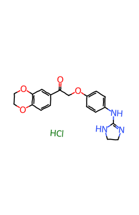 Cl.O=C(COc1ccc(NC2=NCCN2)cc1)c1ccc2c(c1)OCCO2